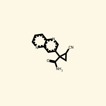 N#CC1CC1(C(N)=O)c1cnc2cccnc2c1